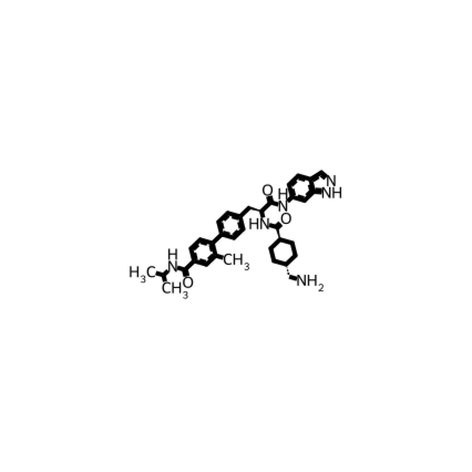 Cc1cc(C(=O)NC(C)C)ccc1-c1ccc(C[C@H](NC(=O)[C@H]2CC[C@H](CN)CC2)C(=O)Nc2ccc3cn[nH]c3c2)cc1